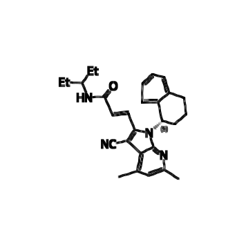 CCC(CC)NC(=O)C=Cc1c(C#N)c2c(C)cc(C)nc2n1[C@H]1CCCc2ccccc21